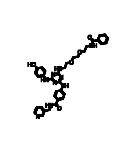 O=C(NCCOCCOCCNc1nc(Nc2ccc(O)cc2)nc(Nc2ccc(C(=O)NCc3cccnc3)cc2)n1)c1ccccc1